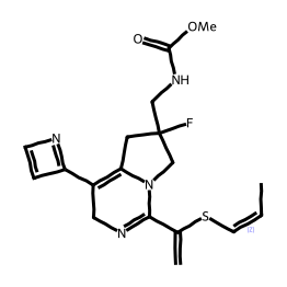 C=C(S/C=C\C)C1=NCC(C2=NC=C2)=C2CC(F)(CNC(=O)OC)CN12